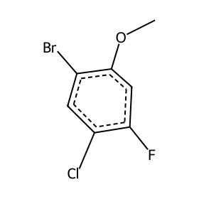 COc1cc(F)c(Cl)cc1Br